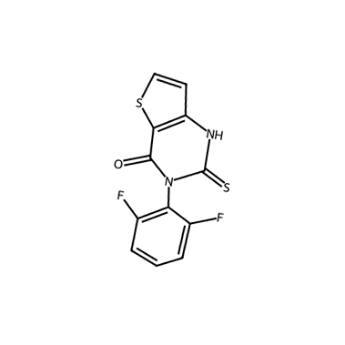 O=c1c2sccc2[nH]c(=S)n1-c1c(F)cccc1F